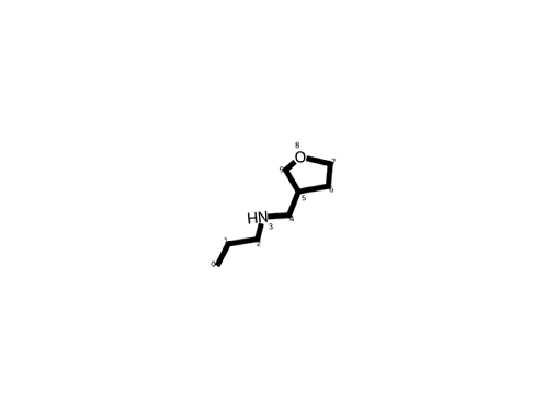 CCCNCC1CCOC1